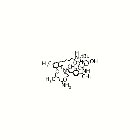 Cc1cc(CCCCCC(=O)N[C@H](C(=O)N2C[C@H](O)C[C@H]2C(=O)N[C@@H](C)c2ccc(-c3scnc3C)cc2)C(C)(C)C)c(F)c(OC[C@@H](C)CCC(N)=O)c1